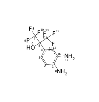 Nc1ccc(C(O)(C(F)(F)F)C(F)(F)F)cc1N